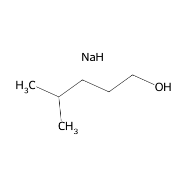 CC(C)CCCO.[NaH]